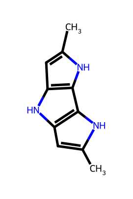 Cc1cc2[nH]c3cc(C)[nH]c3c2[nH]1